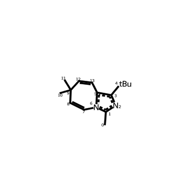 Cc1nc(C(C)(C)C)c2n1C=CC(C)(C)C=C2